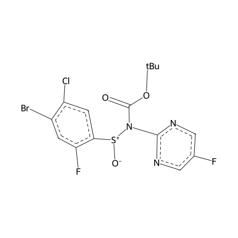 CC(C)(C)OC(=O)N(c1ncc(F)cn1)[S+]([O-])c1cc(Cl)c(Br)cc1F